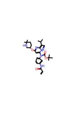 C=CC(=O)Nc1cccc(N(C(=O)OC(C)(C)C)c2cc(O[C@@H]3CCC(C)(C)NC3)nc3c(C(C)C)cnn23)c1